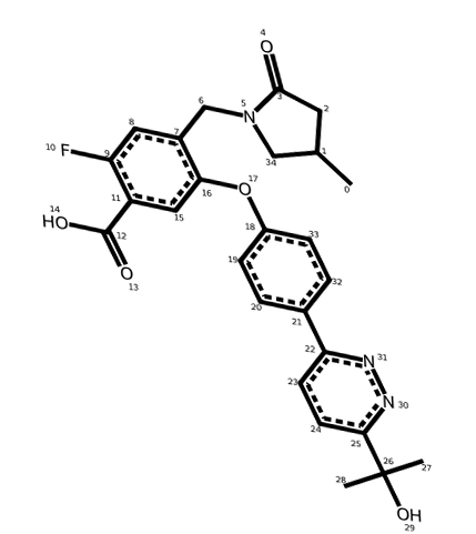 CC1CC(=O)N(Cc2cc(F)c(C(=O)O)cc2Oc2ccc(-c3ccc(C(C)(C)O)nn3)cc2)C1